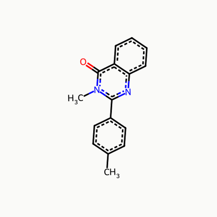 Cc1ccc(-c2nc3ccccc3c(=O)n2C)cc1